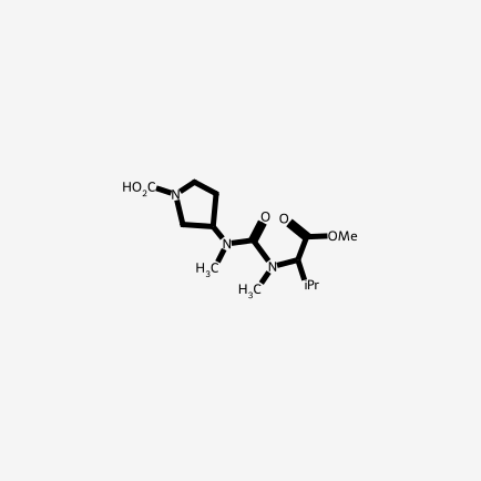 COC(=O)C(C(C)C)N(C)C(=O)N(C)C1CCN(C(=O)O)C1